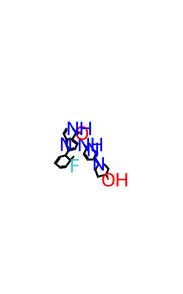 CC1(F)C=CC=CC1c1cc(Nc2ccc(N3CCC(O)CC3)cn2)c2c(=O)[nH]ccc2n1